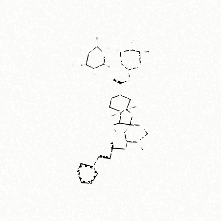 CC(=O)O[C@@H]1[C@@H](O)[C@H](O[C@H]2[C@H](OC(=O)[C@H]3CC[C@@H]4[C@H](C3)O[C@@]3(C[C@H](OC(=O)/C=C/c5ccccc5)[C@H](C)CO3)[C@]43CO3)O[C@H](C)[C@@H](O)[C@@H]2OC(C)=O)O[C@H](C)[C@H]1O